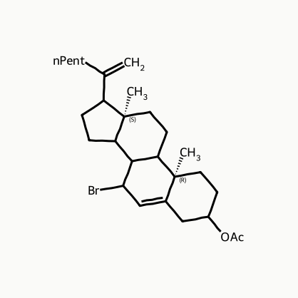 C=C(CCCCC)C1CCC2C3C(Br)C=C4CC(OC(C)=O)CC[C@]4(C)C3CC[C@]12C